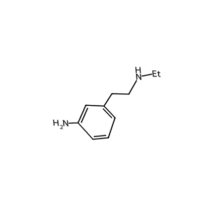 CCNCCc1cccc(N)c1